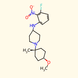 CO[C@H]1CC[C@](C)(N2CCC(Nc3cccc(F)c3[N+](=O)[O-])CC2)CC1